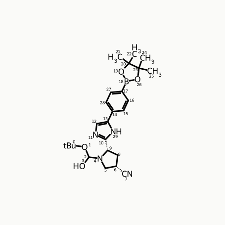 CC(C)(C)OC(O)N1C[C@@H](C#N)C[C@H]1c1ncc(-c2ccc(B3OC(C)(C)C(C)(C)O3)cc2)[nH]1